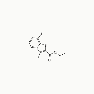 CCOC(=O)c1sc2c(I)cccc2c1C